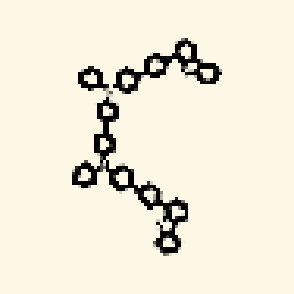 c1ccc(N(c2ccc(-c3ccc(-c4cccc5c4sc4ccccc45)cc3)cc2)c2ccc(-c3ccc(N(c4ccccc4)c4ccc(-c5ccc(-c6cccc7c6sc6ccccc67)cc5)cc4)cc3)cc2)cc1